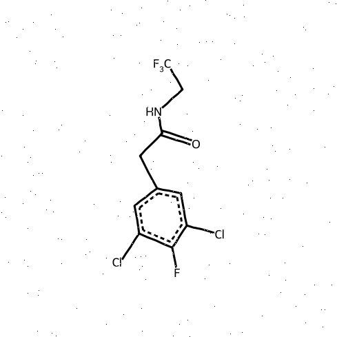 O=C(Cc1cc(Cl)c(F)c(Cl)c1)NCC(F)(F)F